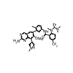 CCC(N(C)C)N(C)c1ccc(C(F)(F)F)cc1C(=O)Nc1ccc(C)c(-c2cc3cnc(N)nc3c(-c3cnn(C)c3)c2OC)c1